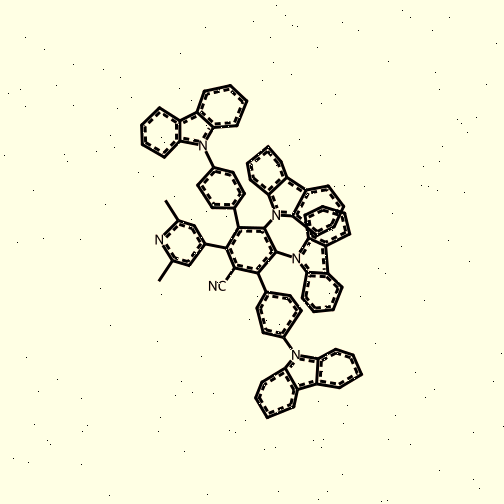 Cc1cc(-c2c(C#N)c(-c3ccc(-n4c5ccccc5c5ccccc54)cc3)c(-n3c4ccccc4c4ccccc43)c(-n3c4ccccc4c4ccccc43)c2-c2ccc(-n3c4ccccc4c4ccccc43)cc2)cc(C)n1